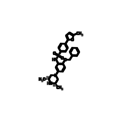 Cc1ccc(-c2ccc(S(=O)(=O)Nc3cc(N4C[C@@H](C)N[C@@H](C)C4)ccc3OCc3ccccc3)cc2)o1